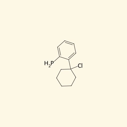 Pc1ccccc1C1(Cl)CCCCC1